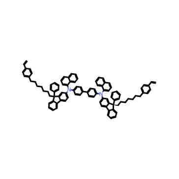 C=Cc1ccc(CCCCCCCC2(c3ccccc3)c3ccccc3-c3ccc(N(c4ccc(-c5ccc(N(c6ccc7c(c6)[C@](CCCCCCCc6ccc(C=C)cc6)(c6ccccc6)c6ccccc6-7)c6cccc7ccccc67)cc5)cc4)c4cccc5ccccc45)cc32)cc1